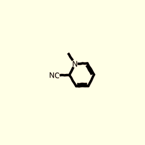 CN1C=CC=CC1C#N